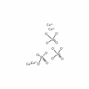 [Ca+2].[Ca+2].[Ca+2].[Ga+3].[O]=[Sb]([O-])([O-])[O-].[O]=[Sb]([O-])([O-])[O-].[O]=[Sb]([O-])([O-])[O-]